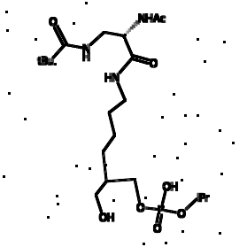 CC(=O)N[C@@H](CNC(=O)C(C)(C)C)C(=O)NCCCCC(CO)COP(=O)(O)OC(C)C